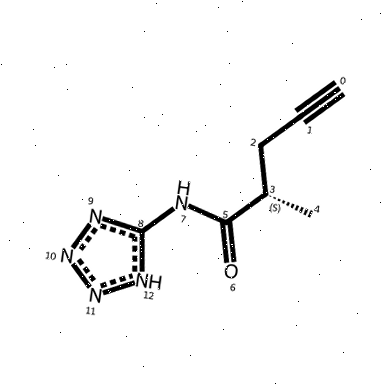 C#CC[C@H](C)C(=O)Nc1nnn[nH]1